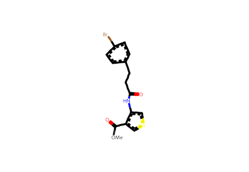 COC(=O)c1cscc1NC(=O)CCc1ccc(Br)cc1